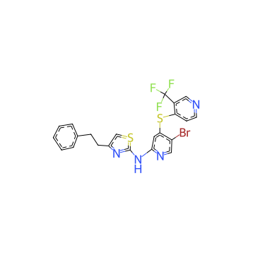 FC(F)(F)c1cnccc1Sc1cc(Nc2nc(CCc3ccccc3)cs2)ncc1Br